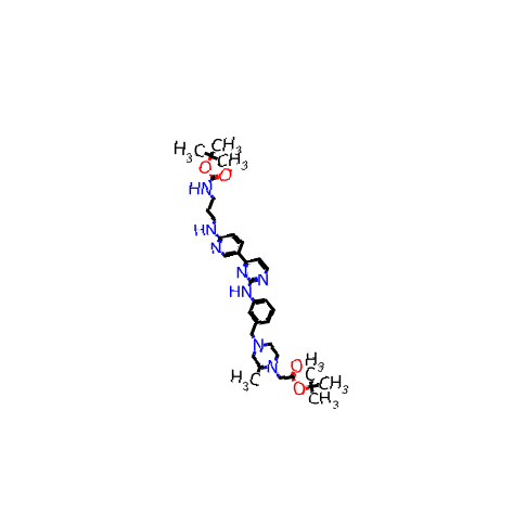 CC1CN(Cc2cccc(Nc3nccc(-c4ccc(NCCCNC(=O)OC(C)(C)C)nc4)n3)c2)CCN1CC(=O)OC(C)(C)C